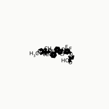 CN1CCc2c(nc(C(=O)Nc3cccc(-c4cccc5c4CCC5Oc4c(Cl)cc(CN5CCC(C(=O)O)C5)c(F)c4F)c3Cl)n2C)C1